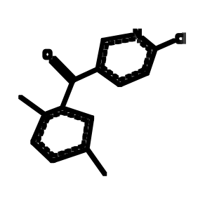 Cc1ccc(C)c(C(=O)c2ccc(Cl)nc2)c1